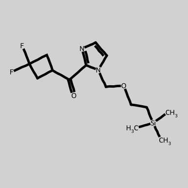 C[Si](C)(C)CCOCn1ccnc1C(=O)C1CC(F)(F)C1